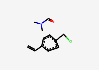 C=Cc1ccc(CCl)cc1.CN(C)C=O